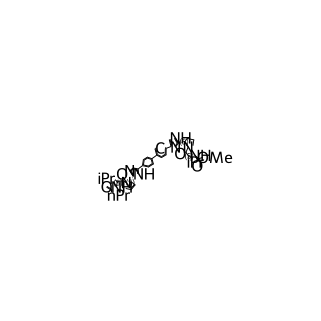 CCCC(=O)N[C@H](C(=O)N1CC=C[C@H]1c1ncc(-c2ccc(-c3ccc(-c4c[nH]c([C@@H]5CCCN5C(=O)[C@@H](NC(=O)OC)C(C)C)n4)cc3)cc2)[nH]1)C(C)C